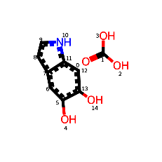 O=C(O)O.Oc1cc2cc[nH]c2cc1O